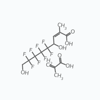 C=C(C)C(=O)O.CC(=CC(O)C(F)(F)C(F)(F)C(F)(F)C(F)(F)CO)C(=O)O